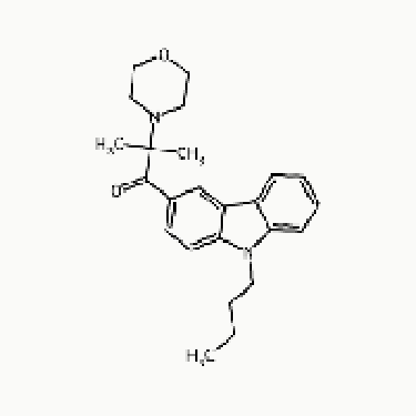 CCCCn1c2ccccc2c2cc(C(=O)C(C)(C)N3CCOCC3)ccc21